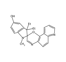 CCC1(CC)c2cc(O)ccc2N(C)C12C=Nc1ccc3ncccc3c1O2